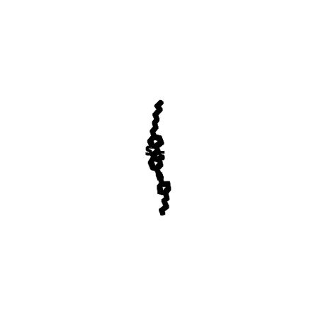 CCCCCCCCc1ccc2c(c1)sc1c3ccc(C#Cc4ccc(CCCCC)cc4)cc3sc21